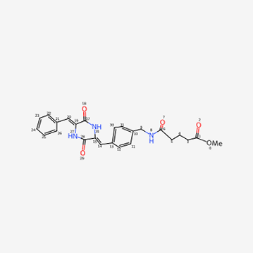 COC(=O)CCCC(=O)NCc1ccc(C=c2[nH]c(=O)c(=Cc3ccccc3)[nH]c2=O)cc1